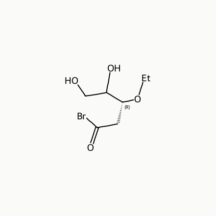 CCO[C@H](CC(=O)Br)C(O)CO